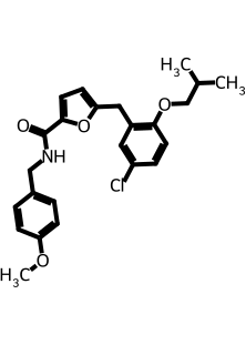 COc1ccc(CNC(=O)c2ccc(Cc3cc(Cl)ccc3OCC(C)C)o2)cc1